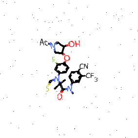 CC(=O)N1CC(O)C(Oc2ccc(N(C=S)C(C)(C)C(=O)N(C)c3ccc(C#N)c(C(F)(F)F)c3)cc2F)C1